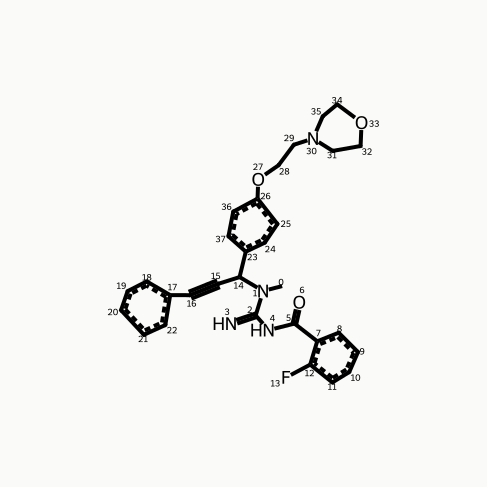 CN(C(=N)NC(=O)c1ccccc1F)C(C#Cc1ccccc1)c1ccc(OCCN2CCOCC2)cc1